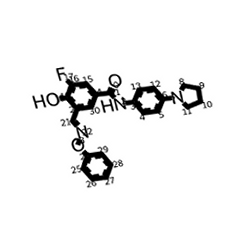 O=C(Nc1ccc(N2CCCC2)cc1)c1cc(F)c(O)c(C=NOc2ccccc2)c1